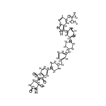 CC1(Oc2ccc3n[nH]c(-c4cc(N5CCC(Cc6cccc(CC7CCN(c8ccc9c(c8)C(=O)N(C8CCC(=O)NC8=O)C9=O)CC7)c6)CC5)ncn4)c3c2)CC1